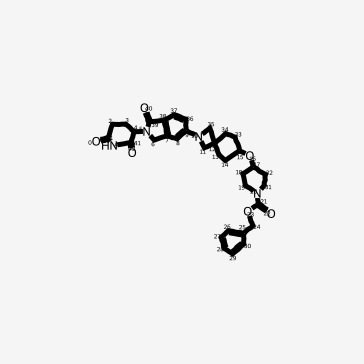 O=C1CCC(N2Cc3cc(N4CC5(CCC(OC6CCN(C(=O)OCc7ccccc7)CC6)CC5)C4)ccc3C2=O)C(=O)N1